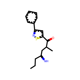 CCCC(=N)CC(C)C(=O)c1cc(-c2ccccc2)ns1